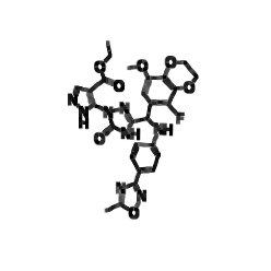 CCOC(=O)c1cn[nH]c1-n1nc(C(Nc2ccc(-c3noc(C)n3)cc2)c2cc(OC)c3c(c2F)OCCO3)[nH]c1=O